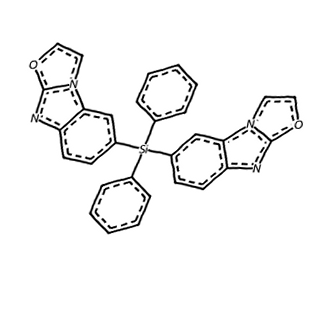 c1ccc([Si](c2ccccc2)(c2ccc3nc4occn4c3c2)c2ccc3nc4occn4c3c2)cc1